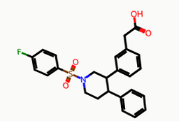 O=C(O)Cc1cccc(C2CN(S(=O)(=O)c3ccc(F)cc3)CCC2c2ccccc2)c1